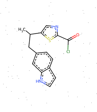 CC(Cc1ccc2cc[nH]c2c1)c1cnc(C(=O)Cl)s1